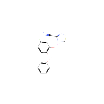 N#CC1=NSCN1Oc1cc(F)ccc1Oc1ccccc1